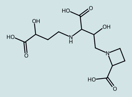 O=C(O)C(O)CCNC(C(=O)O)C(O)CN1CCC1C(=O)O